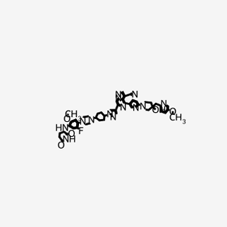 COc1ccc(CC2(O)CCN(c3ccc(-c4nc(-c5cnn(C6CCC(N7CCN(c8cc(OC)c(NC9CCC(=O)NC9=O)cc8F)CC7)CC6)c5)cn5ncc(C#N)c45)cn3)CC2)nc1